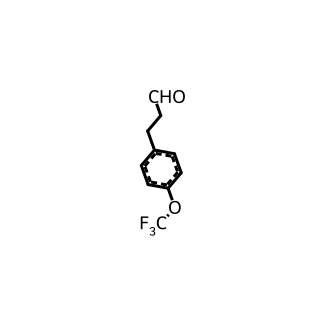 O=CCCc1ccc(OC(F)(F)F)cc1